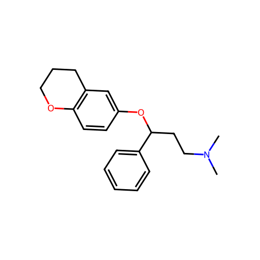 CN(C)CCC(Oc1ccc2c(c1)CCCO2)c1ccccc1